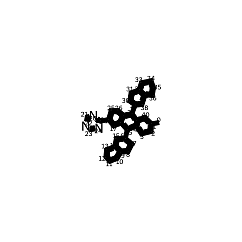 Cc1ccc2c(-c3ccc4ccccc4c3)c3cc(-c4ncncn4)ccc3c(-c3ccc4ccccc4c3)c2c1